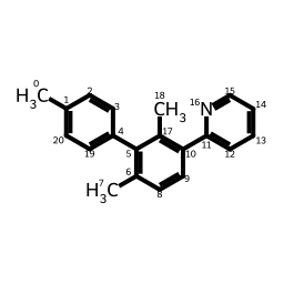 Cc1ccc(-c2c(C)ccc(-c3ccccn3)c2C)cc1